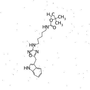 CC(C)(C)OC(=O)NCCCCCNc1noc(Cc2c[nH]c3ccccc23)n1